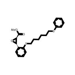 COC(=O)[C@@H]1O[C@H]1c1ccccc1SCCCCCCSc1ccccc1